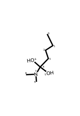 CCCCC(O)(O)N(C)C